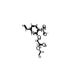 C=Cc1ccc([N+](=O)[O-])c(OCC(=O)OCC)n1